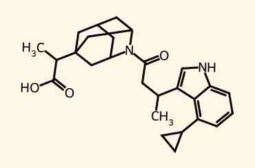 CC(CC(=O)N1C2CC3CC1CC(C(C)C(=O)O)(C3)C2)c1c[nH]c2cccc(C3CC3)c12